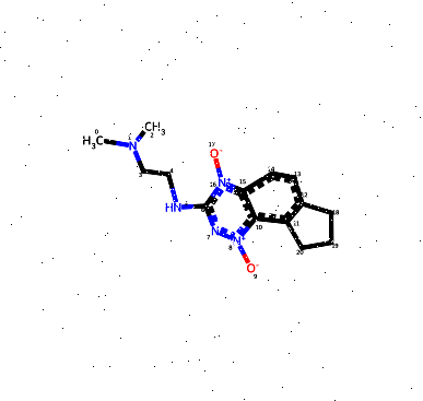 CN(C)CCNc1n[n+]([O-])c2c3c(ccc2[n+]1[O-])CCC3